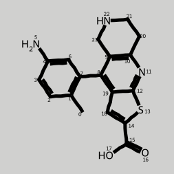 Cc1ccc(N)cc1-c1c2c(nc3sc(C(=O)O)cc13)CCNC2